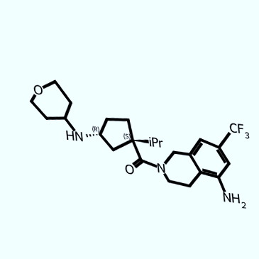 CC(C)[C@]1(C(=O)N2CCc3c(N)cc(C(F)(F)F)cc3C2)CC[C@@H](NC2CCOCC2)C1